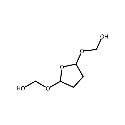 OCOC1CCC(OCO)O1